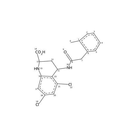 Cc1ccccc1CC(=O)NC1CC(C(=O)O)Nc2cc(Cl)cc(Cl)c21